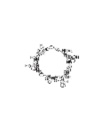 CC(=O)N[C@H]1CSCc2cccc(c2)CSC[C@@H](C(N)=O)NC(=O)[C@H]([C@@H](C)O)NC(=O)[C@](C)(C(C)C)NC(=O)[C@H](Cc2ccc(O)cc2)NC(=O)[C@H](C)NC(=O)C2(CCOCC2)NC(=O)[C@H](Cc2c[nH]c3ncccc23)NC(=O)[C@H]([C@@H](C)O)NC(=O)[C@@H]2CCCN2C(=O)[C@H](Cc2ccc(O)cc2)NC(=O)[C@H](C(C)(C)C)NC1=O